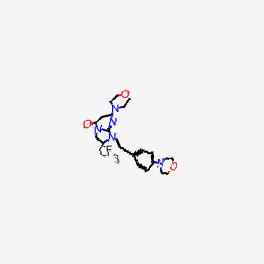 O=c1cc(N2CCOCC2)nc2n1CC(C(F)(F)F)N2CCc1ccc(N2CCOCC2)cc1